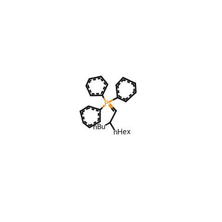 CCCCCCC(C=P(c1ccccc1)(c1ccccc1)c1ccccc1)CCCC